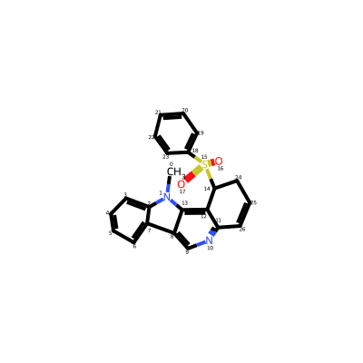 Cn1c2ccccc2c2cnc3c(c21)C(S(=O)(=O)c1ccccc1)CC=C3